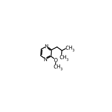 COc1nccnc1CC(C)C